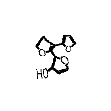 Oc1ccoc1-c1occc1-c1ccco1